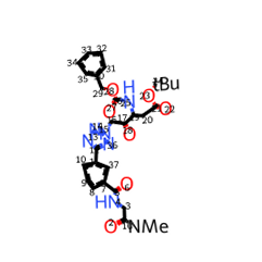 CNC(=O)CNC(=O)c1cccc(-c2nnn(CC(=O)C(CC(=O)OC(C)(C)C)NC(=O)OCc3ccccc3)n2)c1